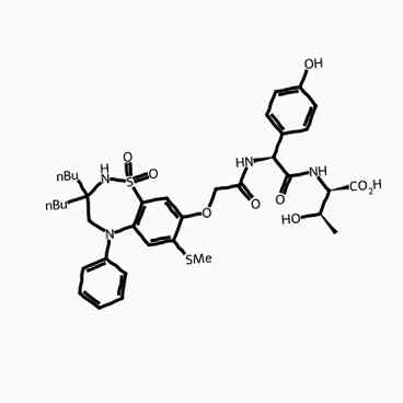 CCCCC1(CCCC)CN(c2ccccc2)c2cc(SC)c(OCC(=O)N[C@H](C(=O)N[C@@H](C(=O)O)[C@@H](C)O)c3ccc(O)cc3)cc2S(=O)(=O)N1